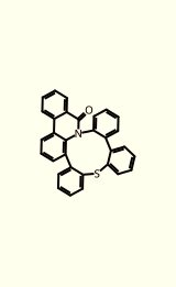 O=c1c2ccccc2c2cccc3c2n1-c1ccccc1-c1ccccc1Sc1ccccc1-3